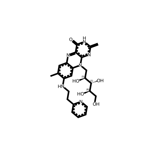 C=c1nc2c(c(=O)[nH]1)=Nc1cc(C)c(NCCc3ccccn3)cc1N2C[C@H](O)[C@H](O)[C@H](O)CO